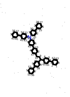 c1ccc(-c2ccc(C(CCc3ccc(-c4ccc(N(c5ccc(-c6ccccc6)cc5)c5ccc(-c6ccccc6)cc5)cc4)cc3)c3ccc(-c4ccccc4)cc3)cc2)cc1